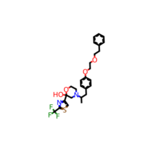 CC(Cc1ccc(OCCOCCc2ccccc2)cc1)N1CCOC(O)(c2csc(C(F)(F)F)n2)C1